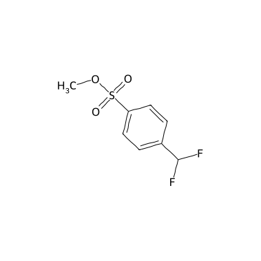 COS(=O)(=O)c1ccc(C(F)F)cc1